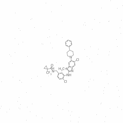 Cn1c(Nc2cc(CNC(=O)C3(C(F)(F)F)CC3)ccc2Cl)nc2cc(Cl)c(N3CCC(c4ccccc4)CC3)cc21